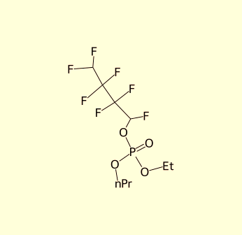 CCCOP(=O)(OCC)OC(F)C(F)(F)C(F)(F)C(F)F